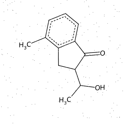 Cc1cccc2c1CC(C(C)O)C2=O